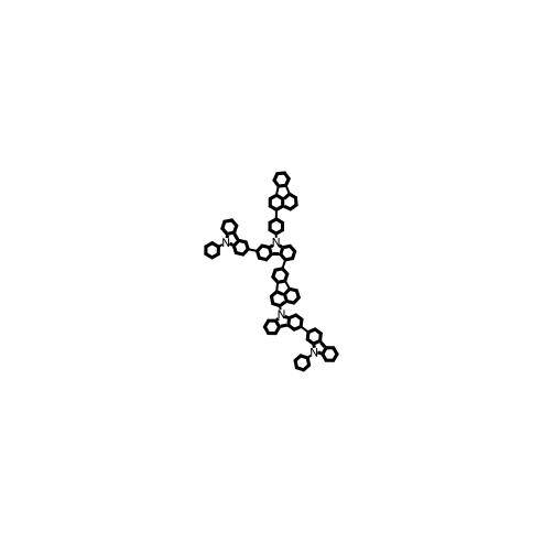 c1ccc(-n2c3ccccc3c3cc(-c4ccc5c6c(-c7ccc8c(c7)-c7cccc9c(-n%10c%11ccccc%11c%11cc(-c%12ccc%13c%14ccccc%14n(-c%14ccccc%14)c%13c%12)ccc%11%10)ccc-8c79)cccc6n(-c6ccc(-c7ccc8c9c(cccc79)-c7ccccc7-8)cc6)c5c4)ccc32)cc1